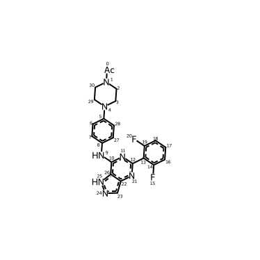 CC(=O)N1CCN(c2ccc(Nc3nc(-c4c(F)cccc4F)nc4cn[nH]c34)cc2)CC1